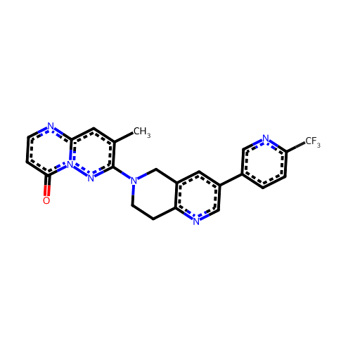 Cc1cc2nccc(=O)n2nc1N1CCc2ncc(-c3ccc(C(F)(F)F)nc3)cc2C1